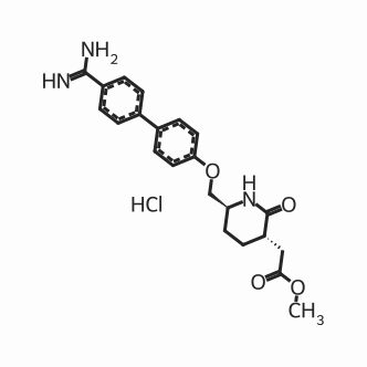 COC(=O)C[C@@H]1CC[C@@H](COc2ccc(-c3ccc(C(=N)N)cc3)cc2)NC1=O.Cl